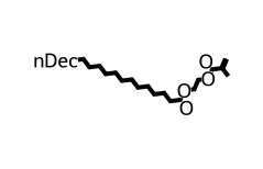 C=C(C)C(=O)OCCOC(=O)CCCCCCCCCCCCCCCCCCCCCC